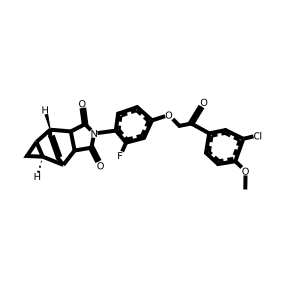 COc1ccc(C(=O)COc2ccc(N3C(=O)C4C(C3=O)[C@@H]3C=CC4[C@H]4CC34)c(F)c2)cc1Cl